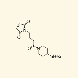 CCCCCCC1CCN(C(=O)CCCN2C(=O)C=CC2=O)CC1